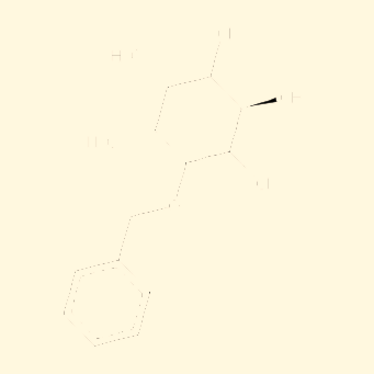 CC1C(OCc2ccccc2)[C@H](C)[C@H](C)C(C)[C@H]1C